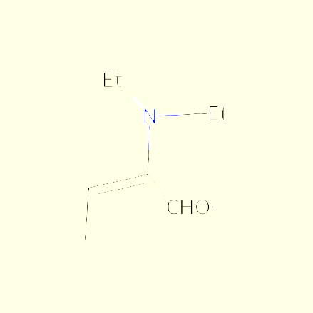 C/C=C(\[C]=O)N(CC)CC